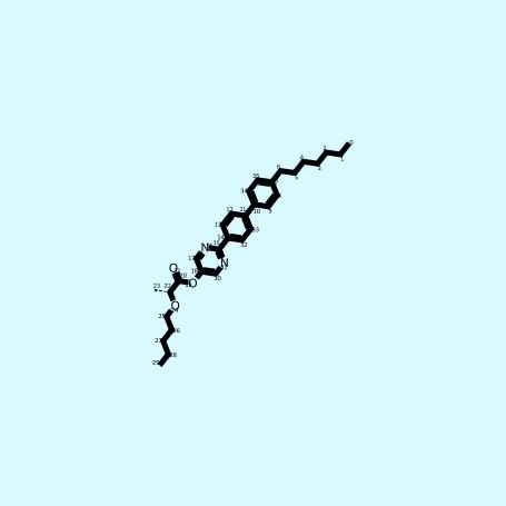 CCCCCCCc1ccc(-c2ccc(-c3ncc(OC(=O)[C@@H](C)OCCCCC)cn3)cc2)cc1